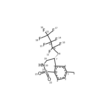 Cc1ccc2c(c1)[C@@H](CC(F)(F)C(F)(F)C(F)(F)F)CNS2(=O)=O